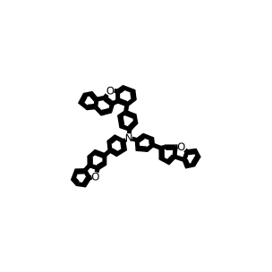 c1ccc2c(c1)ccc1c2oc2cccc(-c3ccc(N(c4ccc(-c5ccc6c(c5)oc5ccccc56)cc4)c4ccc(-c5ccc6c(c5)oc5ccccc56)cc4)cc3)c21